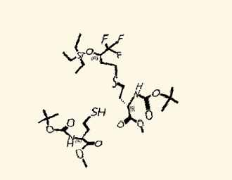 CC[Si](CC)(CC)O[C@H](CCSCC[C@H](NC(=O)OC(C)(C)C)C(=O)OC)C(F)(F)F.COC(=O)[C@H](CCS)NC(=O)OC(C)(C)C